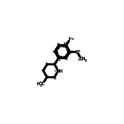 COc1cc(C2CCC(C)CN2)ccc1F